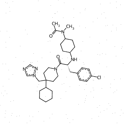 CC(=O)N(C)C1CCC(N[C@H](Cc2ccc(Cl)cc2)C(=O)N2CCC(Cn3cncn3)(C3CCCCC3)CC2)CC1